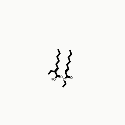 CCCCC/C=C(\CC)C(=O)O.CCCCC/C=C/C(=O)OCC